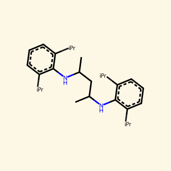 CC(CC(C)Nc1c(C(C)C)cccc1C(C)C)Nc1c(C(C)C)cccc1C(C)C